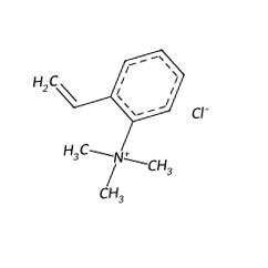 C=Cc1ccccc1[N+](C)(C)C.[Cl-]